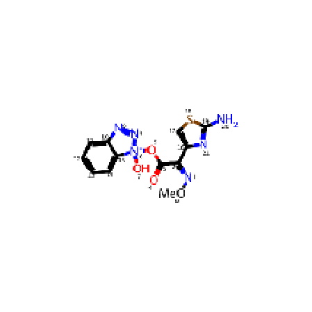 CO/N=C(\C(=O)O[N+]1(O)N=Nc2ccccc21)c1csc(N)n1